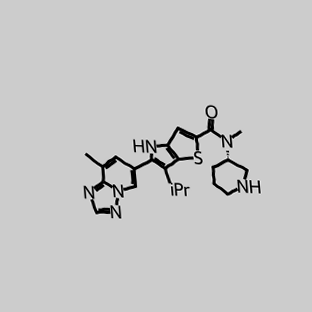 Cc1cc(-c2[nH]c3cc(C(=O)N(C)[C@H]4CCCNC4)sc3c2C(C)C)cn2ncnc12